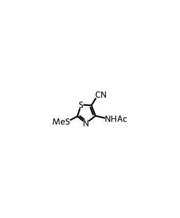 CSc1nc(NC(C)=O)c(C#N)s1